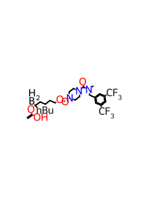 BC(CCCC)(CCCCOON1CCN(C(=O)N(C)Cc2cc(C(F)(F)F)cc(C(F)(F)F)c2)CC1)OC(=C)O